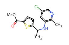 COC(=O)c1ccc(C(C)Nc2cc(Cl)cnc2C)s1